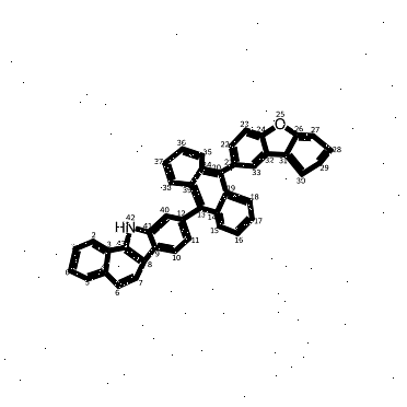 c1ccc2c(c1)ccc1c3ccc(-c4c5ccccc5c(-c5ccc6oc7ccccc7c6c5)c5ccccc45)cc3[nH]c21